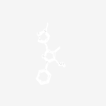 Cc1c(-c2cnn(C)c2)nn(-c2ccccc2)c1N